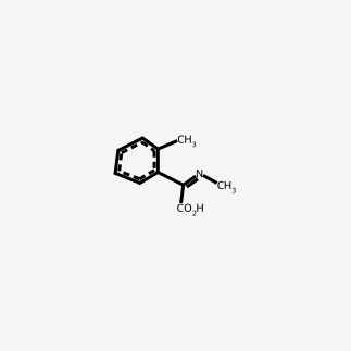 CN=C(C(=O)O)c1ccccc1C